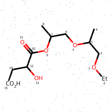 CCOCC(C)OCC(C)OC(=O)C(O)CC(=O)O